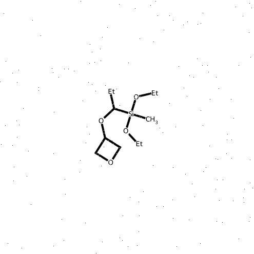 CCO[Si](C)(OCC)C(CC)OC1COC1